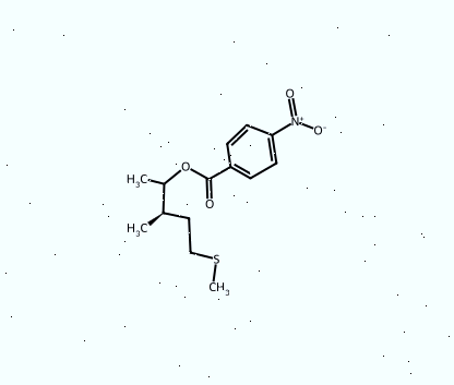 CSCC[C@@H](C)C(C)OC(=O)c1ccc([N+](=O)[O-])cc1